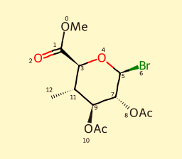 COC(=O)[C@H]1O[C@@H](Br)[C@H](OC(C)=O)[C@@H](OC(C)=O)[C@@H]1C